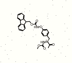 COC(=O)N[C@@H](Cc1ccc(ONC(=O)OCC2c3ccccc3-c3ccccc32)cc1)C(C)=O